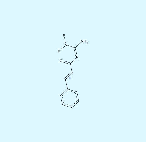 NC(=NC(=O)/C=C/c1ccccc1)N(F)F